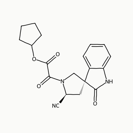 N#C[C@@H]1C[C@@]2(CN1C(=O)C(=O)OC1CCCC1)C(=O)Nc1ccccc12